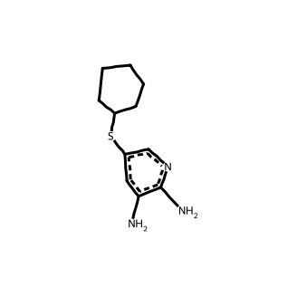 Nc1cc(SC2CCCCC2)cnc1N